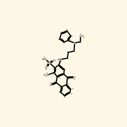 CCN(CCCNc1cc2c(c(N)c1S(=O)(=O)O)C(=O)c1ccccc1C2=O)c1ccccc1